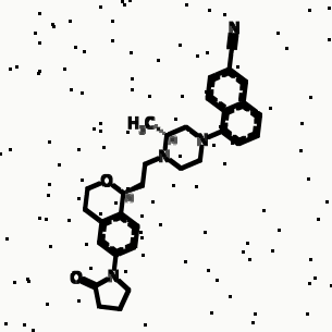 C[C@@H]1CN(c2cccc3cc(C#N)ccc23)CCN1CC[C@@H]1OCCc2cc(N3CCCC3=O)ccc21